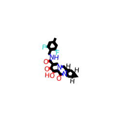 Cc1cc(F)c(CNC(=O)c2cn3c(c(O)c2=O)C(=O)N2C4CC([C@@H]5C[C@H]45)[C@@H]2C3)c(F)c1